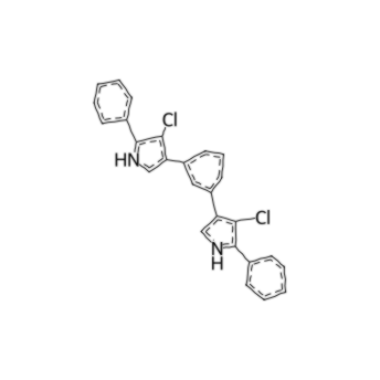 Clc1c(-c2cccc(-c3c[nH]c(-c4ccccc4)c3Cl)c2)c[nH]c1-c1ccccc1